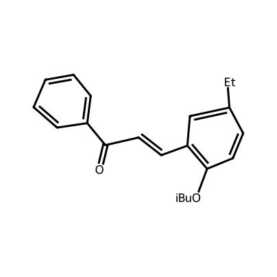 CCc1ccc(OCC(C)C)c(/C=C/C(=O)c2ccccc2)c1